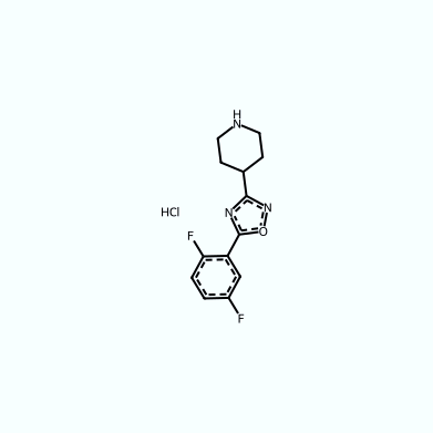 Cl.Fc1ccc(F)c(-c2nc(C3CCNCC3)no2)c1